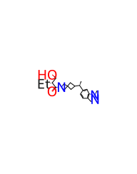 CC[C@H](CO)C(=O)N1CC2(CC([C@@H](C)c3ccc4cnn(C)c4c3)C2)C1